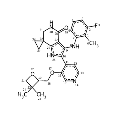 Cc1c(F)cccc1Nc1c(-c2ccncc2OC[C@H]2OCC2(C)C)[nH]c2c1C(=O)NCC21CC1